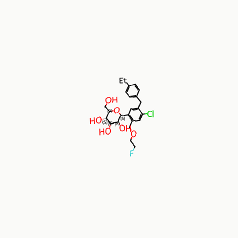 CCc1ccc(Cc2cc([C@@H]3O[C@H](CO)[C@@H](O)[C@H](O)[C@H]3O)c(COCCF)cc2Cl)cc1